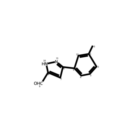 Cc1cccc(-c2cc(C=O)[nH]n2)c1